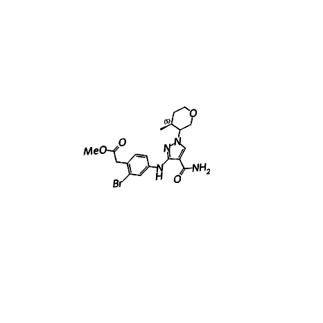 COC(=O)Cc1ccc(Nc2nn(C3COCC[C@@H]3C)cc2C(N)=O)cc1Br